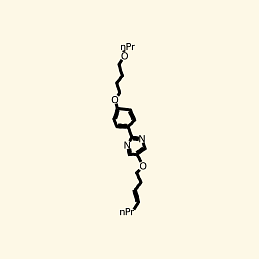 CCCC=CCCOc1cnc(-c2ccc(OCCCCOCCC)cc2)nc1